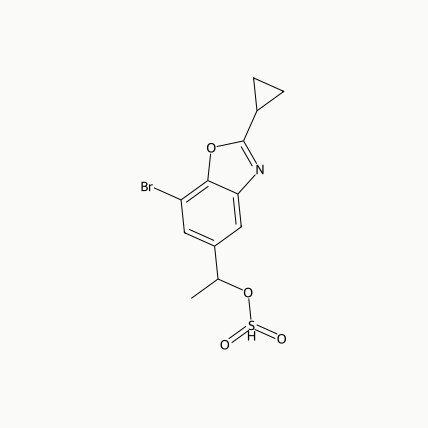 CC(O[SH](=O)=O)c1cc(Br)c2oc(C3CC3)nc2c1